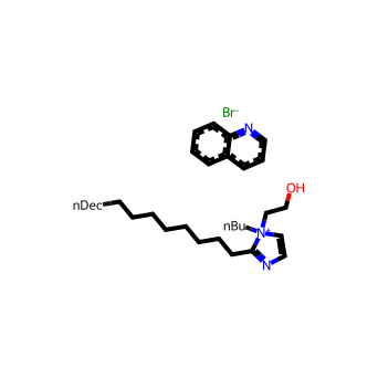 CCCCCCCCCCCCCCCCCCC1=NC=C[N+]1(CCO)CCCC.[Br-].c1ccc2ncccc2c1